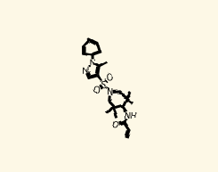 C=CC(=O)NC1C(C)(C)CN(S(=O)(=O)c2cnn(-c3ccccc3)c2C)CC1(C)C